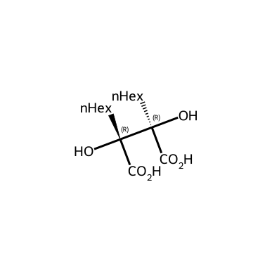 CCCCCC[C@](O)(C(=O)O)[C@](O)(CCCCCC)C(=O)O